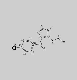 CCCc1sccc1C(C)c1ccc(Cl)cc1